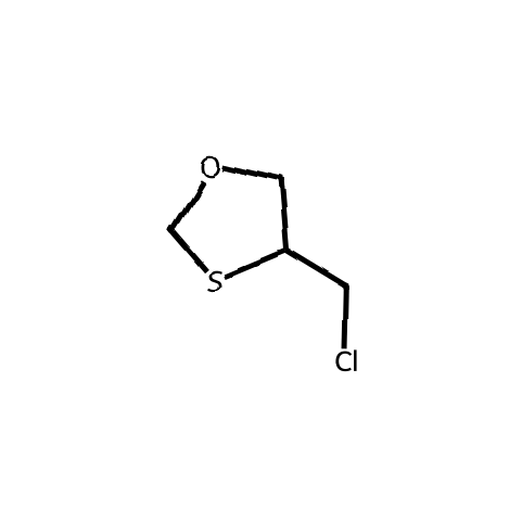 ClCC1COCS1